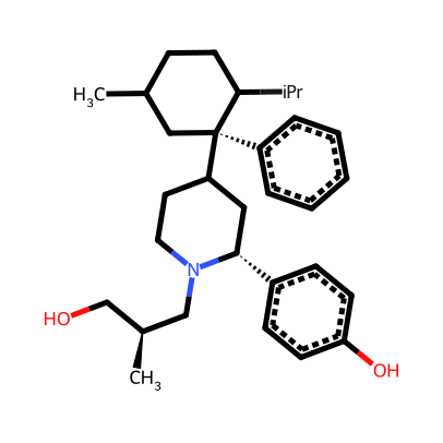 CC1CCC(C(C)C)[C@@](c2ccccc2)(C2CCN(C[C@@H](C)CO)[C@@H](c3ccc(O)cc3)C2)C1